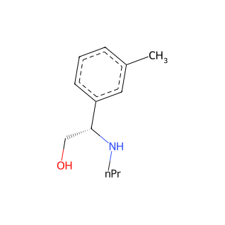 CCCN[C@H](CO)c1cccc(C)c1